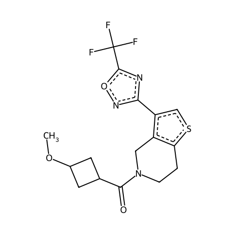 COC1CC(C(=O)N2CCc3scc(-c4noc(C(F)(F)F)n4)c3C2)C1